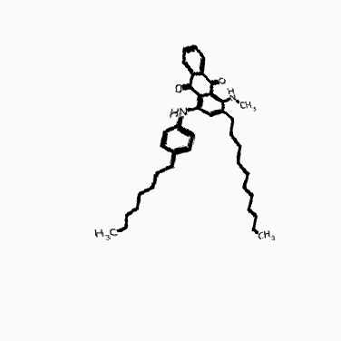 CCCCCCCCCCCc1cc(Nc2ccc(CCCCCCCC)cc2)c2c(c1NC)C(=O)c1ccccc1C2=O